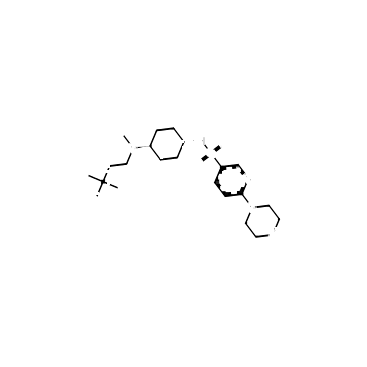 CN(CCC(C)(C)C)[C@H]1CC[C@H](NS(=O)(=O)c2ccc(N3CCOCC3)nc2)CC1